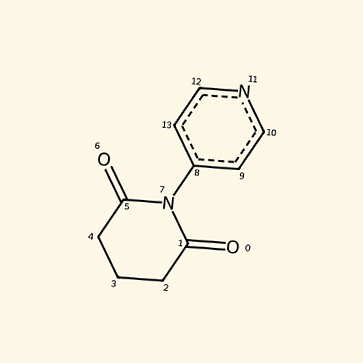 O=C1CCCC(=O)N1c1ccncc1